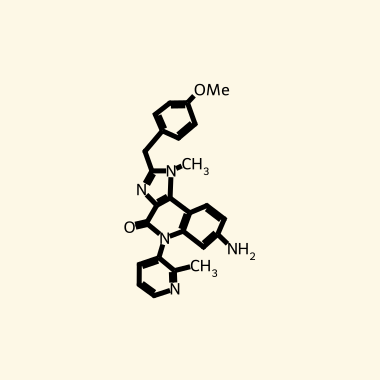 COc1ccc(Cc2nc3c(=O)n(-c4cccnc4C)c4cc(N)ccc4c3n2C)cc1